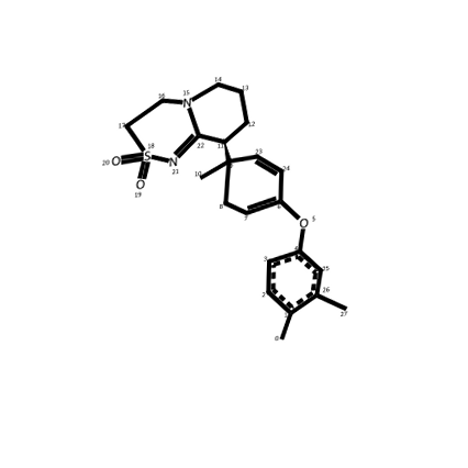 Cc1ccc(OC2=CCC(C)([C@@H]3CCCN4CCS(=O)(=O)N=C34)C=C2)cc1C